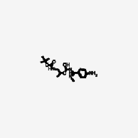 C/N=C(/NC(O)OC(C)CNC(=O)OC(C)(C)C)c1ccc(N)cc1